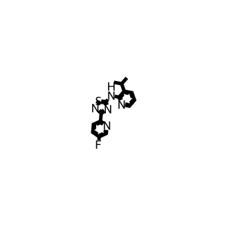 CC(C)c1cccnc1Nc1nc(-c2ccc(F)cn2)ns1